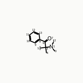 CN(I)C(C)(I)C(=O)c1ccccc1